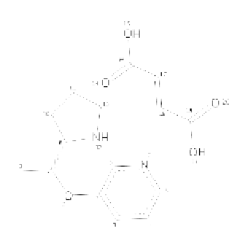 CC(Oc1cccnc1)[C@@H]1CCCN1.O=C(O)/C=C/C(=O)O